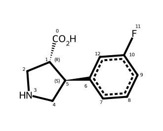 O=C(O)[C@H]1CNC[C@@H]1c1cccc(F)c1